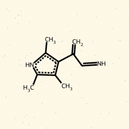 C=C(C=N)c1c(C)[nH]c(C)c1C